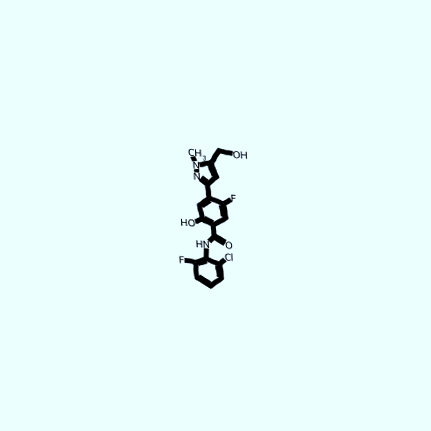 Cn1nc(-c2cc(O)c(C(=O)Nc3c(F)cccc3Cl)cc2F)cc1CO